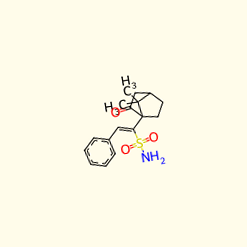 CC1(C)C2CCC1(C(=Cc1ccccc1)S(N)(=O)=O)C(=O)C2